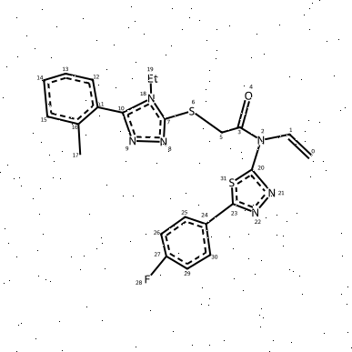 C=CN(C(=O)CSc1nnc(-c2ccccc2C)n1CC)c1nnc(-c2ccc(F)cc2)s1